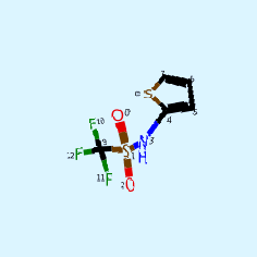 O=S(=O)(Nc1cccs1)C(F)(F)F